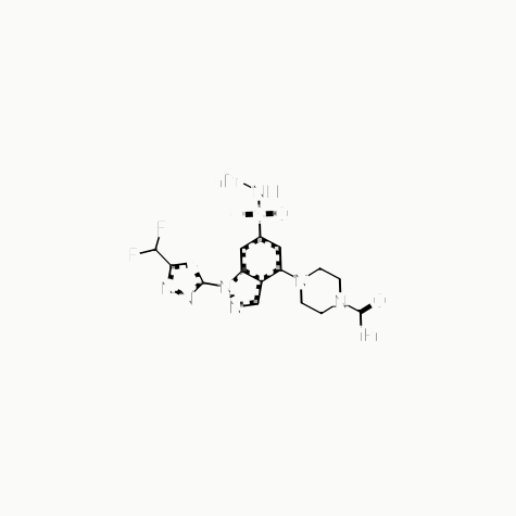 CCCNS(=O)(=O)c1cc(N2CCN(C(=O)C(C)C)CC2)c2cnn(-c3nnc(C(F)F)s3)c2c1